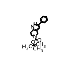 CC(C)(C)OC(=O)N1CCc2nnc(-c3ccccc3)cc2C1